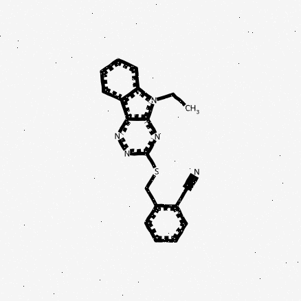 CCn1c2ccccc2c2nnc(SCc3ccccc3C#N)nc21